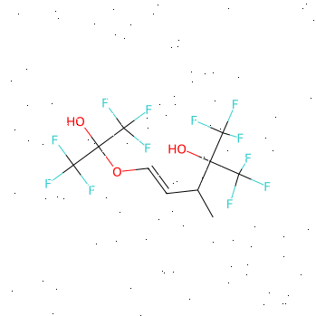 CC(/C=C/OC(O)(C(F)(F)F)C(F)(F)F)C(O)(C(F)(F)F)C(F)(F)F